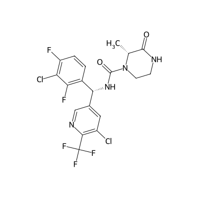 C[C@@H]1C(=O)NCCN1C(=O)N[C@H](c1cnc(C(F)(F)F)c(Cl)c1)c1ccc(F)c(Cl)c1F